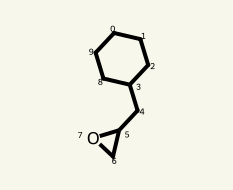 C1CCC(CC2CO2)CC1